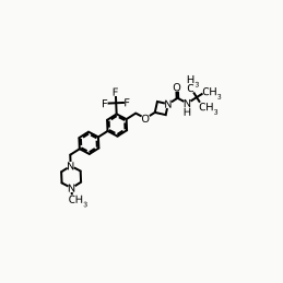 CN1CCN(Cc2ccc(-c3ccc(COC4CN(C(=O)NC(C)(C)C)C4)c(C(F)(F)F)c3)cc2)CC1